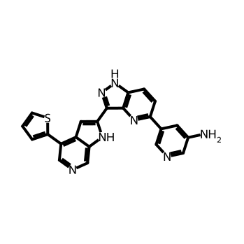 Nc1cncc(-c2ccc3[nH]nc(-c4cc5c(-c6cccs6)cncc5[nH]4)c3n2)c1